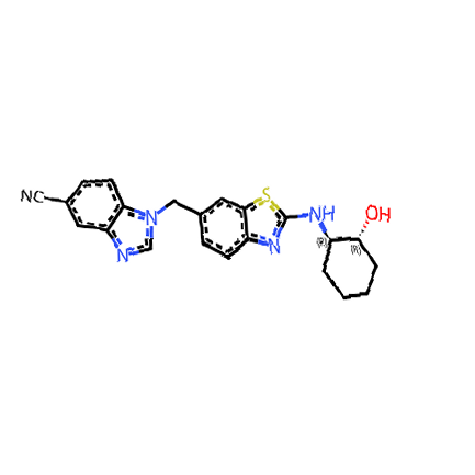 N#Cc1ccc2c(c1)ncn2Cc1ccc2nc(N[C@@H]3CCCC[C@H]3O)sc2c1